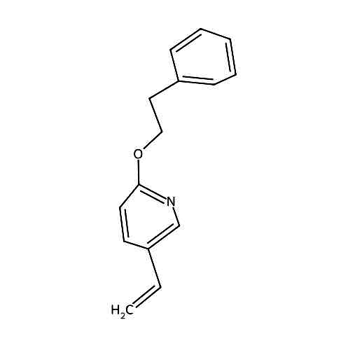 C=Cc1ccc(OCCc2ccccc2)nc1